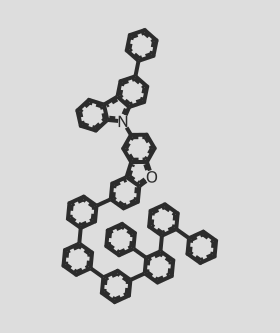 c1ccc(-c2ccc3c(c2)c2ccccc2n3-c2ccc3oc4ccc(-c5cccc(-c6cccc(-c7cccc(-c8cccc(-c9ccccc9-c9ccccc9)c8-c8ccccc8)c7)c6)c5)cc4c3c2)cc1